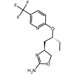 CC[C@H](C[C@H]1COC(N)=N1)Oc1ccc(C(F)(F)F)cn1